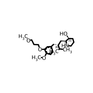 COCCCOc1cc(C[C@H](C[C@@H]2NCCC[C@@H]2O)C(C)C)ccc1OC